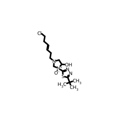 CC(C)(C)c1nnc([N+]2([O-])CN(CCC=CCCCl)CC2O)s1